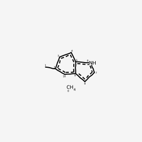 C.Cc1ccc2[nH]ccc2c1